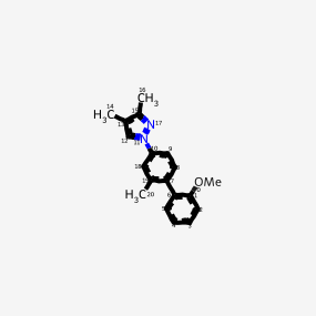 COc1ccccc1-c1ccc(-n2cc(C)c(C)n2)cc1C